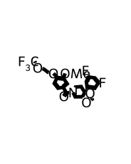 COc1cc(C(=O)N2CC[C@]3(c4cc(F)cc(F)c4)OCOC3C2)ccc1OCCOC(F)(F)F